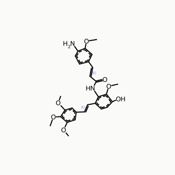 COc1cc(/C=C/C(=O)Nc2c(/C=C/c3cc(OC)c(OC)c(OC)c3)ccc(O)c2OC)ccc1N